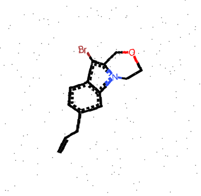 C=CCc1ccc2c(Br)c3n(c2c1)CCOC3